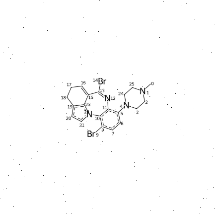 CN1CCN(c2ccc(Br)c3c2N=C(Br)C2=CCCc4ccn-3c42)CC1